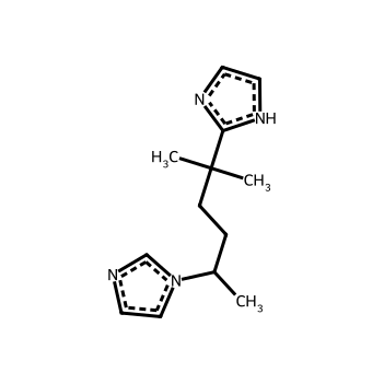 CC(CCC(C)(C)c1ncc[nH]1)n1ccnc1